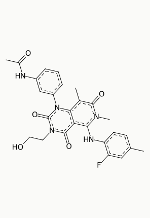 CC(=O)Nc1cccc(-n2c(=O)n(CCO)c(=O)c3c(Nc4ccc(C)cc4F)n(C)c(=O)c(C)c32)c1